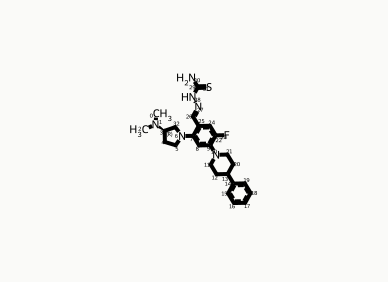 CN(C)[C@@H]1CCN(c2cc(N3CCC(c4ccccc4)CC3)c(F)cc2C=NNC(N)=S)C1